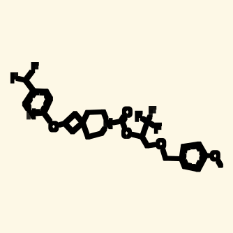 COc1ccc(COCC(OC(=O)N2CCC3(CC2)CC(Oc2ccc(C(F)F)cn2)C3)C(F)(F)F)cc1